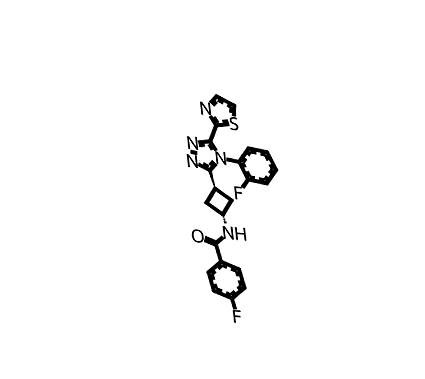 O=C(N[C@H]1C[C@H](c2nnc(-c3nccs3)n2-c2ccccc2F)C1)c1ccc(F)cc1